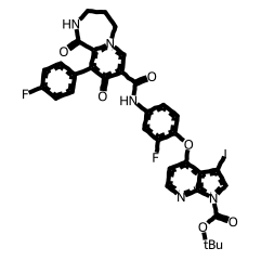 CC(C)(C)OC(=O)n1cc(I)c2c(Oc3ccc(NC(=O)c4cn5c(c(-c6ccc(F)cc6)c4=O)C(=O)NCCC5)cc3F)ccnc21